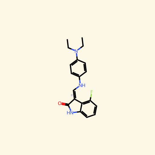 CCN(CC)c1ccc(N/C=C2/C(=O)Nc3cccc(F)c32)cc1